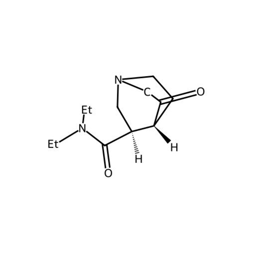 CCN(CC)C(=O)[C@H]1CN2CC[C@H]1C(=O)C2